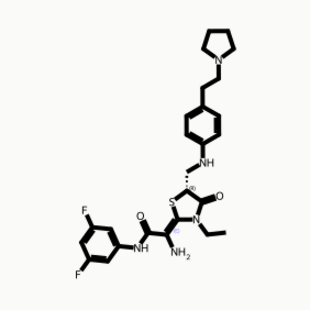 CCN1C(=O)[C@@H](CNc2ccc(CCN3CCCC3)cc2)S/C1=C(/N)C(=O)Nc1cc(F)cc(F)c1